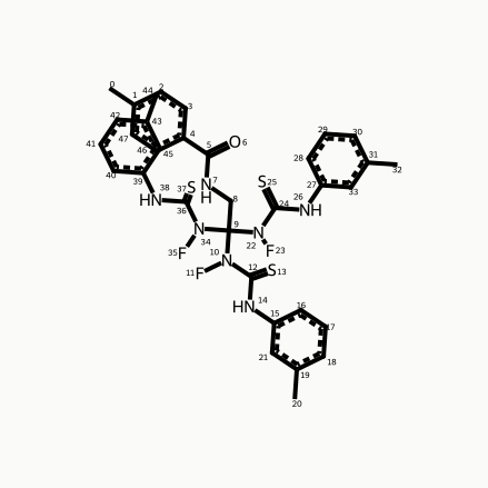 Cc1ccc(C(=O)NCC(N(F)C(=S)Nc2cccc(C)c2)(N(F)C(=S)Nc2cccc(C)c2)N(F)C(=S)Nc2cccc(C)c2)cc1